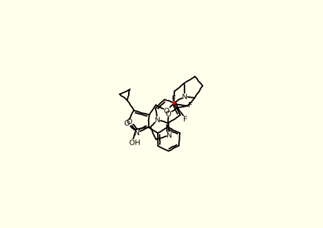 O=C(O)C1CN=C2C=C(N3C4CCC3CC(OCc3c(-c5ccccc5OC(F)(F)F)noc3C3CC3)C4)C=CN21